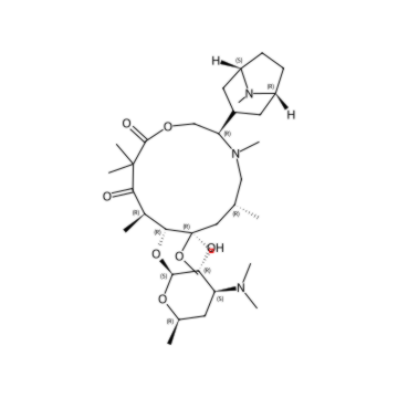 CO[C@]1(C)C[C@@H](C)CN(C)[C@H](C2C[C@H]3CC[C@@H](C2)N3C)COC(=O)C(C)(C)C(=O)[C@H](C)[C@H]1O[C@@H]1O[C@H](C)C[C@H](N(C)C)[C@H]1O